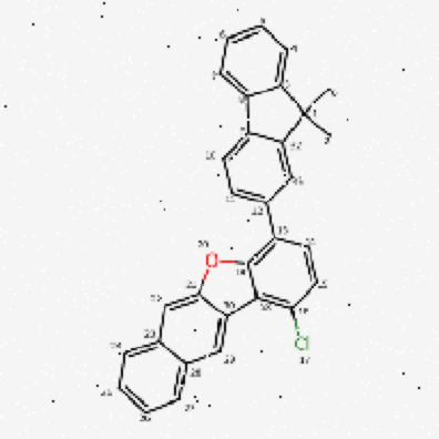 CC1(C)c2ccccc2-c2ccc(-c3ccc(Cl)c4c3oc3cc5ccccc5cc34)cc21